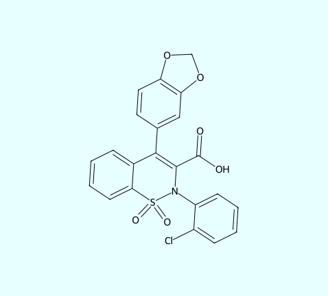 O=C(O)C1=C(c2ccc3c(c2)OCO3)c2ccccc2S(=O)(=O)N1c1ccccc1Cl